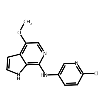 COc1cnc(Nc2ccc(Cl)nc2)c2[nH]ccc12